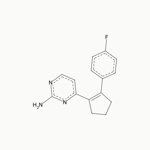 Nc1nccc(C2=C(c3ccc(F)cc3)CCC2)n1